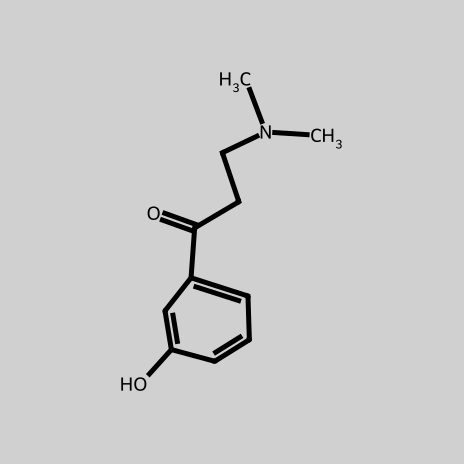 CN(C)CCC(=O)c1cccc(O)c1